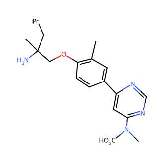 Cc1cc(-c2cc(N(C)C(=O)O)ncn2)ccc1OCC(C)(N)CC(C)C